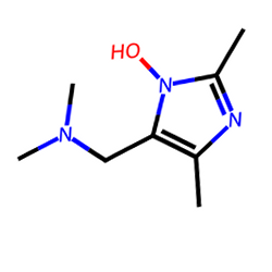 Cc1nc(C)n(O)c1CN(C)C